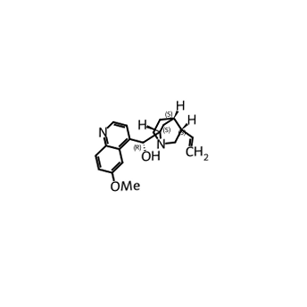 C=C[C@@H]1CN2CC[C@H]1C[C@H]2[C@H](O)c1ccnc2ccc(OC)cc12